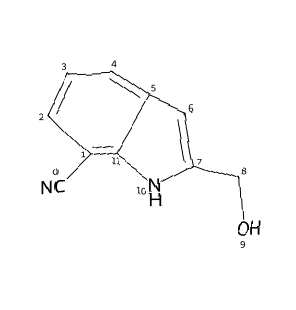 N#Cc1cccc2cc(CO)[nH]c12